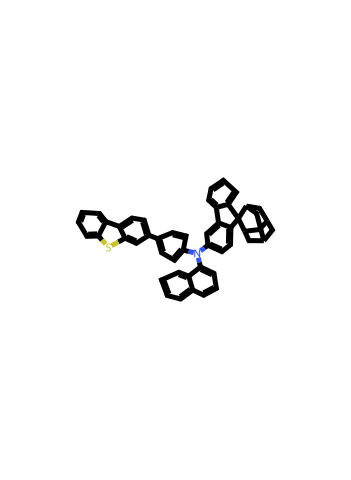 c1ccc2c(c1)-c1cc(N(c3ccc(-c4ccc5c(c4)sc4ccccc45)cc3)c3cccc4ccccc34)ccc1C21C2CC3CC(C2)CC1C3